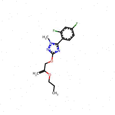 C=C(COc1nc(-c2ccc(F)cc2F)n(C)n1)OCCC